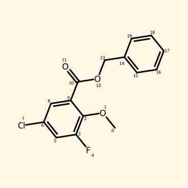 COc1c(F)cc(Cl)cc1C(=O)OCc1ccccc1